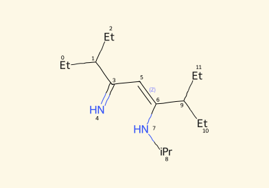 CCC(CC)C(=N)/C=C(\NC(C)C)C(CC)CC